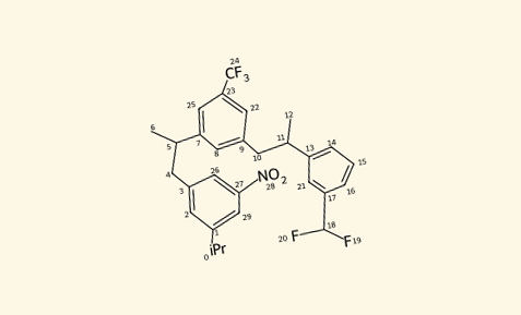 CC(C)c1cc(CC(C)c2cc(CC(C)c3cccc(C(F)F)c3)cc(C(F)(F)F)c2)cc([N+](=O)[O-])c1